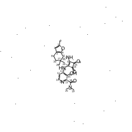 Cc1cc2c(o1)[C@H](Nc1c(Nc3ccnc(C(=O)N(C)C)c3O)c(=O)c1=O)C(C)(C)CC2